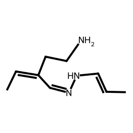 C/C=C(\C=N/N/C=C/C)CCN